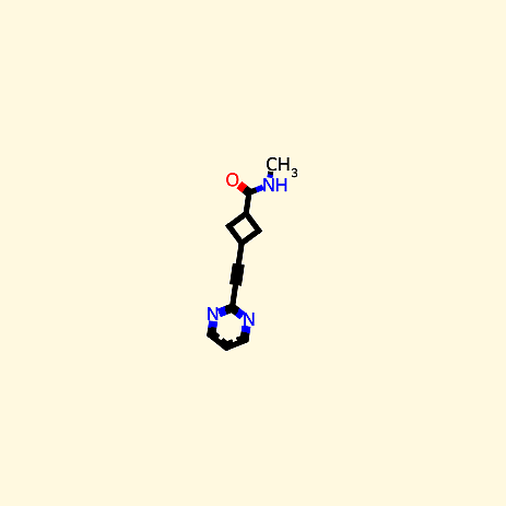 CNC(=O)C1CC(C#Cc2ncccn2)C1